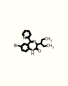 CCC(CC)C1N=C(c2ccccn2)c2cc(Br)ccc2NC1=O